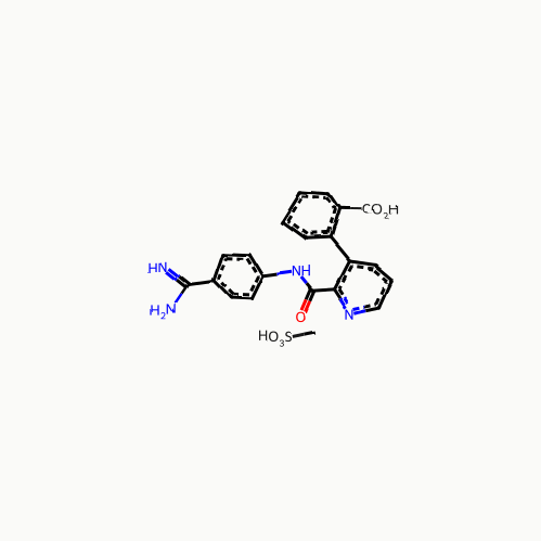 CS(=O)(=O)O.N=C(N)c1ccc(NC(=O)c2ncccc2-c2ccccc2C(=O)O)cc1